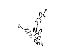 COC(=O)C1C(=O)c2sc(C3CC3)cc2N(c2ccc(OC(F)F)cc2)C1=O